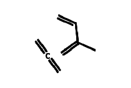 C=C=C.C=CC(=C)C